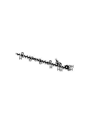 CCCNC(=O)OCCCCCC(=O)OCCOCCOC(=O)CCCCCOC(=O)NCCCCC(NC(=O)NCCc1ccc(O)c(O)c1)C(=O)OCC